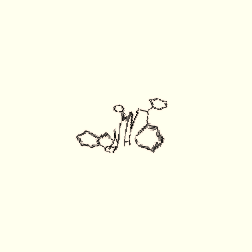 O=C(NCc1ccccc1Cl)NCC(c1ccccc1)c1ccccc1